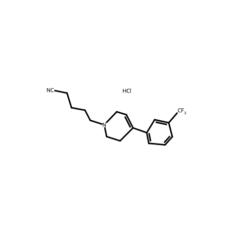 Cl.N#CCCCCN1CC=C(c2cccc(C(F)(F)F)c2)CC1